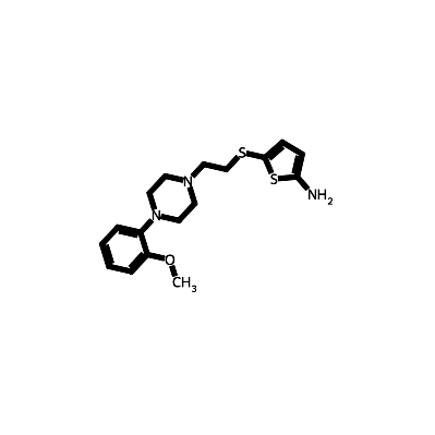 COc1ccccc1N1CCN(CCSc2ccc(N)s2)CC1